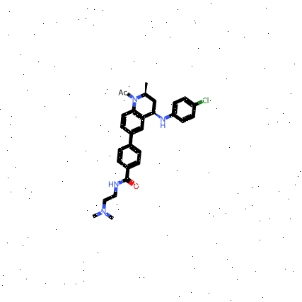 CC(=O)N1c2ccc(-c3ccc(C(=O)NCCN(C)C)cc3)cc2[C@H](Nc2ccc(Cl)cc2)C[C@@H]1C